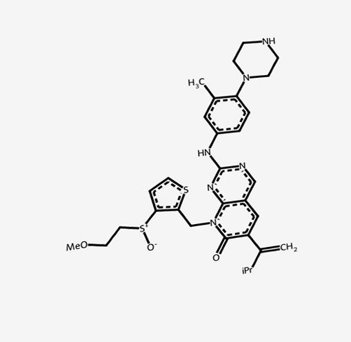 C=C(c1cc2cnc(Nc3ccc(N4CCNCC4)c(C)c3)nc2n(Cc2sccc2[S+]([O-])CCOC)c1=O)C(C)C